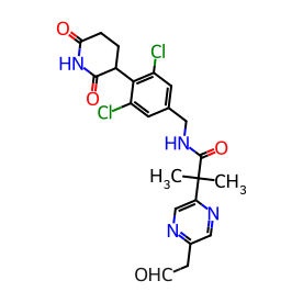 CC(C)(C(=O)NCc1cc(Cl)c(C2CCC(=O)NC2=O)c(Cl)c1)c1cnc(CC=O)cn1